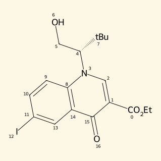 CCOC(=O)c1cn([C@H](CO)C(C)(C)C)c2ccc(I)cc2c1=O